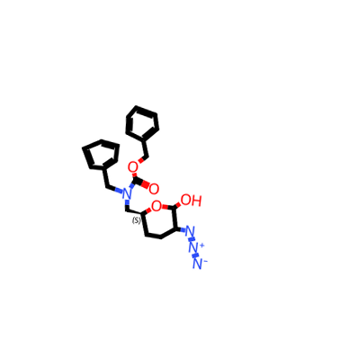 [N-]=[N+]=NC1CC[C@@H](CN(Cc2ccccc2)C(=O)OCc2ccccc2)OC1O